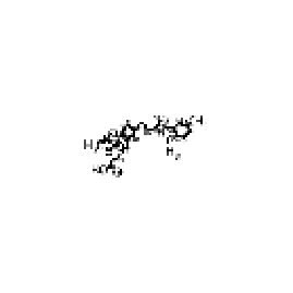 Cc1ccc(C)c(-c2nc(COc3cccc(CN(CCC(=O)O)S(=O)(=O)N(C)C)c3)co2)c1